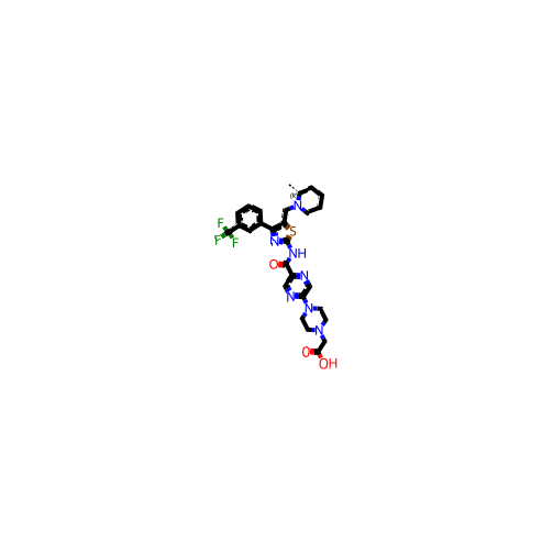 C[C@@H]1CCCCN1Cc1sc(NC(=O)c2cnc(N3CCN(CC(=O)O)CC3)cn2)nc1-c1cccc(C(F)(F)F)c1